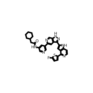 O=C(CC1CCCCC1)Nc1cncc(-c2cc3c(-c4cc5c(-c6ccc(F)s6)nccc5[nH]4)n[nH]c3cn2)c1